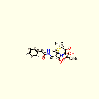 CC(C)COC(=O)[C@]1(O)C(=O)[C@@H](C)S[C@@H]2[C@H](CNC(=O)Cc3ccccc3)C(=O)N21